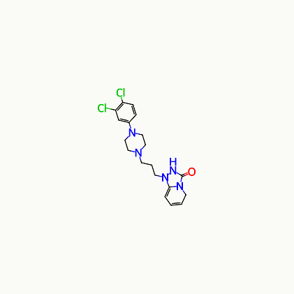 O=C1NN(CCCN2CCN(c3ccc(Cl)c(Cl)c3)CC2)C2=CC=CCN12